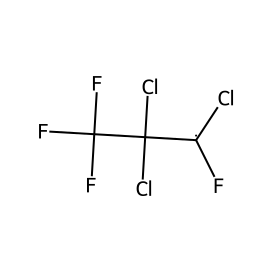 F[C](Cl)C(Cl)(Cl)C(F)(F)F